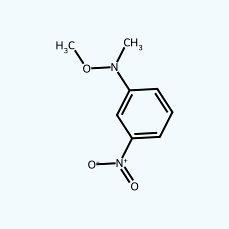 CON(C)c1cccc([N+](=O)[O-])c1